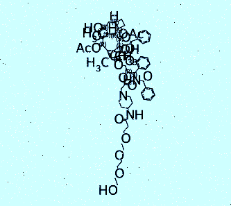 CC(=O)O[C@H]1C(=O)[C@@]2(C)[C@H]([C@H](OC(=O)c3ccccc3)[C@]3(O)C[C@H](OC(=O)[C@H](OC(=O)CN4CCC(NC(=O)CCOCCOCCOCCO)CC4)[C@@H](NC(=O)c4ccccc4)c4ccccc4)C(C)=C1C3(C)C)[C@]1(OC(C)=O)CC[C@@H]1C[C@@H]2O